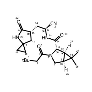 CC(C)(C)CC(=O)N1C[C@H]2[C@@H]([C@H]1C(=O)N[C@H](C#N)C[C@@H]1CC3(CC3)NC1=O)C2(C)C